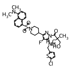 CN(C)c1cccc2c(S(=O)(=O)N3CCC(c4nn(C(=O)C(C)(C)CO)c(NCc5ccc(Cl)s5)c4F)CC3)cccc12